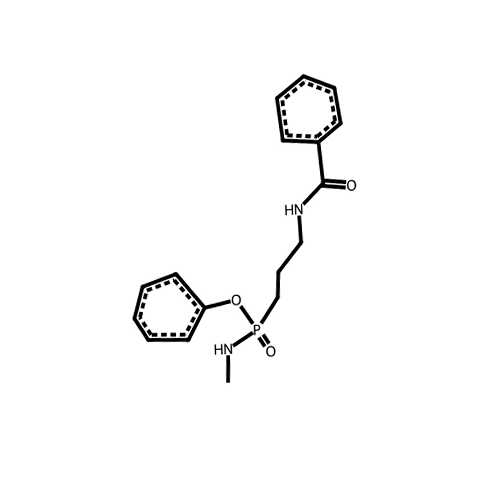 CNP(=O)(CCCNC(=O)c1ccccc1)Oc1ccccc1